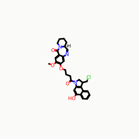 COc1cc2c(cc1OCCCC(=O)N1CC(CCl)c3c1cc(O)c1ccccc31)N=C[C@@H]1CCCCN1C2=O